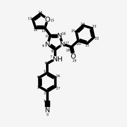 N#Cc1ccc(CNc2nc(-c3ccco3)nn2C(=O)c2ccccc2)cc1